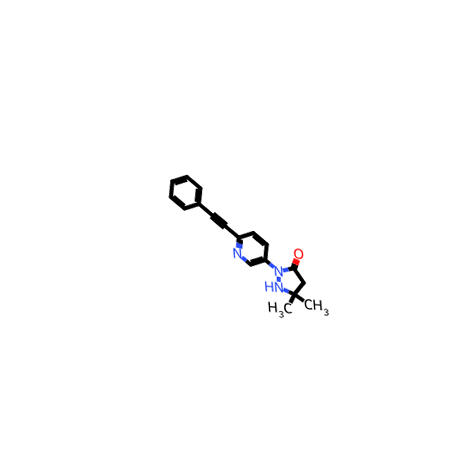 CC1(C)CC(=O)N(c2ccc(C#Cc3ccccc3)nc2)N1